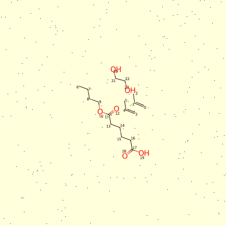 C=CC.C=CC.CCCCOC(=O)CCCCC(=O)O.OCCO